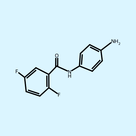 Nc1ccc(NC(=O)c2cc(F)ccc2F)cc1